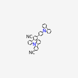 N#Cc1ccc2c3ccccc3n(-c3ccccc3-c3ccc(-c4ccc(-n5c6ccccc6c6ccccc65)cc4)cc3C#N)c2c1